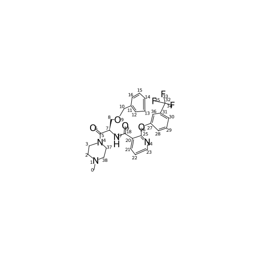 CN1CCN(C(=O)[C@@H](COCc2ccccc2)NC(=O)c2cccnc2Oc2cccc(C(F)(F)F)c2)CC1